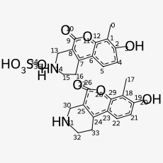 Cc1c(O)ccc2c3c(c(=O)oc12)CNCC3.Cc1c(O)ccc2c3c(c(=O)oc12)CNCC3.O=S(=O)(O)O